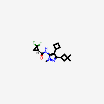 Cn1nc(C2CC(C)(C)C2)c(C2CCC2)c1NC(=O)[C@H]1CC1(F)F